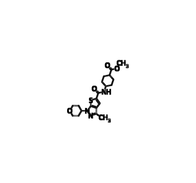 COC(=O)C1CCC(NC(=O)c2cc3c(C)nn(C4CCOCC4)c3s2)CC1